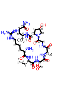 CC(C)C[C@H](NC(=O)[C@@H](N)CCCCNC(=N)N)C(=O)N[C@@H](CO)C(=O)N[C@@H](C)C(=O)NCC(=O)N1C[C@H](O)C[C@H]1C(=O)N[C@@H](CCC(N)=O)C(=O)O